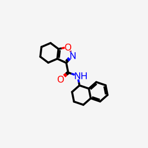 O=C(NC1CCCc2ccccc21)c1noc2c1CCCC2